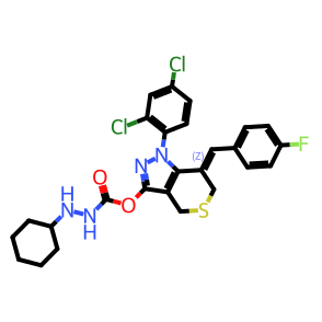 O=C(NNC1CCCCC1)Oc1nn(-c2ccc(Cl)cc2Cl)c2c1CSC/C2=C\c1ccc(F)cc1